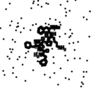 CN[C@@H](Cc1ccccc1)C(=O)N[C@@H](CCCCN)C(=O)N1CCC[C@H]1C(=O)C(C#N)(CNC(=O)[C@@H](N)CC1CCCCC1)C(=O)[C@H](N)CC1CCCCC1